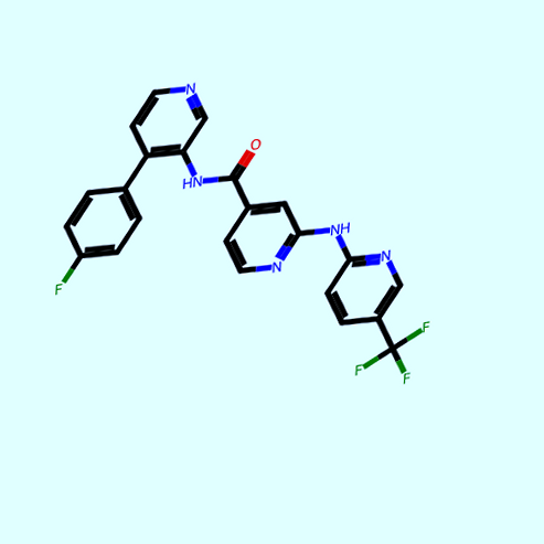 O=C(Nc1cnccc1-c1ccc(F)cc1)c1ccnc(Nc2ccc(C(F)(F)F)cn2)c1